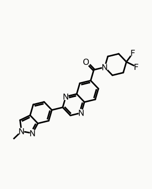 Cn1cc2ccc(-c3cnc4ccc(C(=O)N5CCC(F)(F)CC5)cc4n3)cc2n1